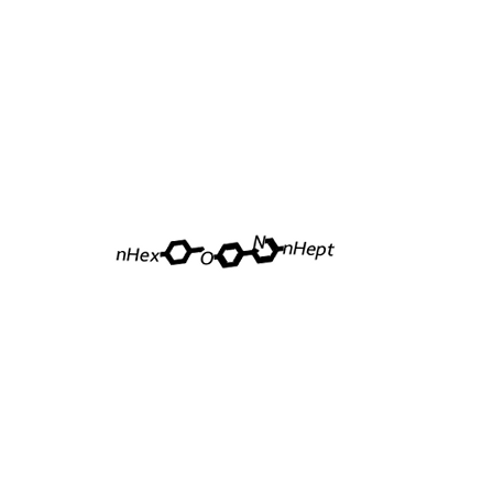 CCCCCCCc1ccc(-c2ccc(OCC3CCC(CCCCCC)CC3)cc2)nc1